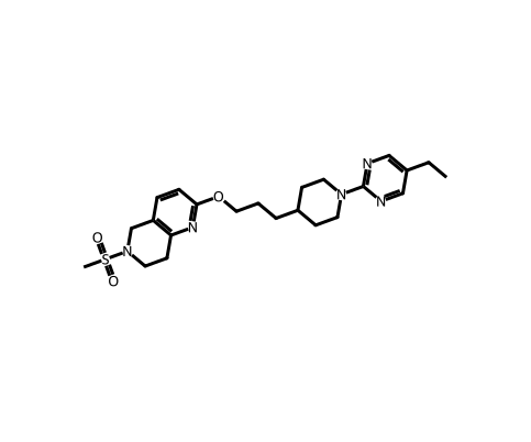 CCc1cnc(N2CCC(CCCOc3ccc4c(n3)CCN(S(C)(=O)=O)C4)CC2)nc1